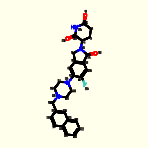 O=C1CCC(N2Cc3cc(N4CCN(Cc5ccc6ccccc6c5)CC4)c(F)cc3C2=O)C(=O)N1